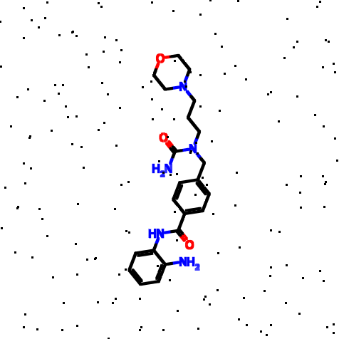 NC(=O)N(CCCN1CCOCC1)Cc1ccc(C(=O)Nc2ccccc2N)cc1